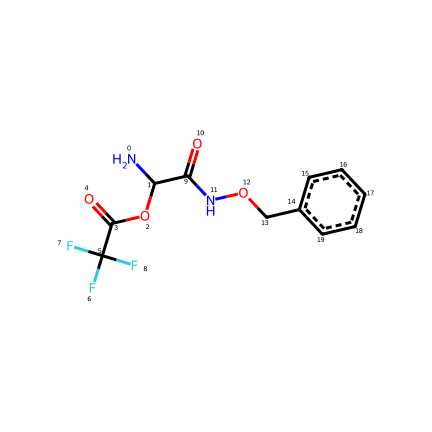 NC(OC(=O)C(F)(F)F)C(=O)NOCc1ccccc1